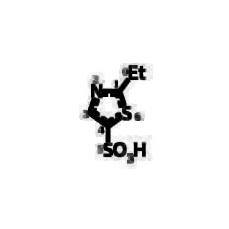 CCc1ncc(S(=O)(=O)O)s1